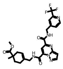 COC(=O)C1(C)CC=C(CNC(=O)c2cc(C(=O)NCc3ccnc(C(F)(F)F)c3)nc3ccnn23)CC1